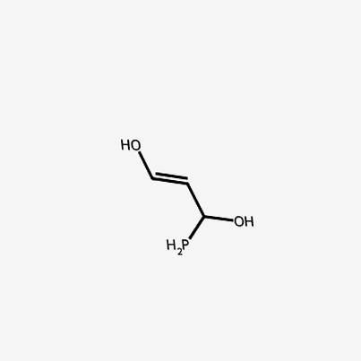 OC=CC(O)P